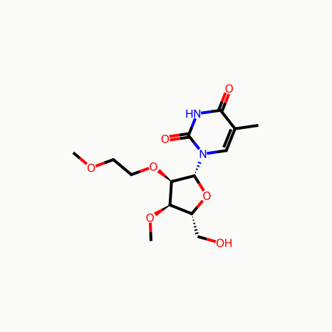 COCCO[C@@H]1[C@H](OC)[C@@H](CO)O[C@H]1n1cc(C)c(=O)[nH]c1=O